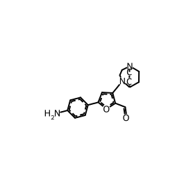 Nc1ccc(-c2cc(N3CCN4CCC3CC4)c(C=O)o2)cc1